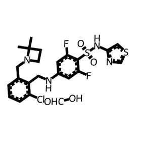 CC1(C)CCN1Cc1cccc(Cl)c1CNc1cc(F)c(S(=O)(=O)Nc2cscn2)c(F)c1.O=CO